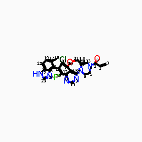 C=CC(=O)N1CCN2c3ncnc4c(F)c(-c5c(C)ccc6[nH]cnc56)c(Cl)c(c34)OC[C@@H]2C1